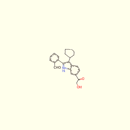 O=Cc1ccccc1-c1[nH]c2cc(C(=O)CO)ccc2c1C1CCCCC1